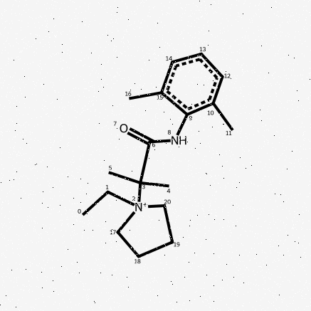 CC[N+]1(C(C)(C)C(=O)Nc2c(C)cccc2C)CCCC1